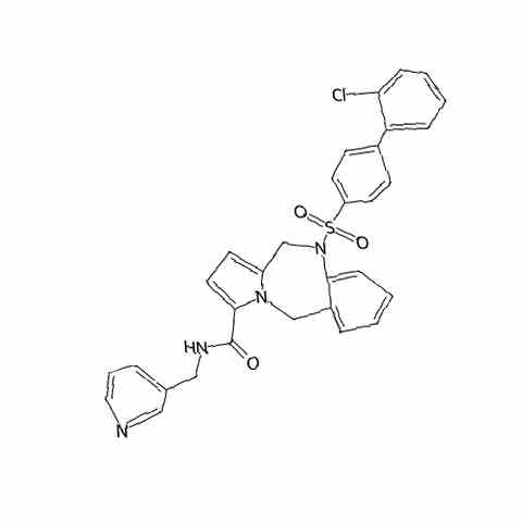 O=C(NCc1cccnc1)c1ccc2n1Cc1ccccc1N(S(=O)(=O)c1ccc(-c3ccccc3Cl)cc1)C2